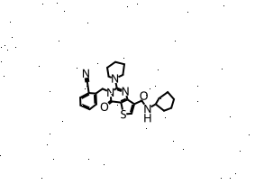 N#Cc1ccccc1Cn1c(N2CCCCC2)nc2c(C(=O)NC3CCCCC3)csc2c1=O